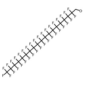 [O]CC(F)(F)C(F)(F)C(F)(F)C(F)(F)C(F)(F)C(F)(F)C(F)(F)C(F)(F)C(F)(F)C(F)(F)C(F)(F)C(F)(F)C(F)(F)C(F)(F)C(F)(F)C(F)(F)C(F)(F)C(F)(F)F